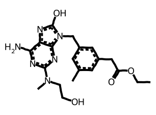 CCOC(=O)Cc1cc(C)cc(Cn2c(O)nc3c(N)nc(N(C)CCO)nc32)c1